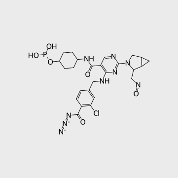 [N-]=[N+]=NC(=O)c1ccc(CNc2nc(N3CC4CC4C3CN=O)ncc2C(=O)NC2CCC(OP(O)O)CC2)cc1Cl